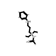 CC[Si](CC)(CCCNc1ccccc1)OC(C)=O